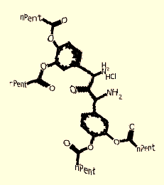 CCCCCC(=O)Oc1ccc(C(N)C(=O)C(N)c2ccc(OC(=O)CCCCC)c(OC(=O)CCCCC)c2)cc1OC(=O)CCCCC.Cl